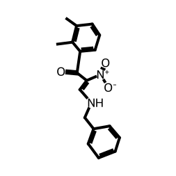 Cc1cccc(C(=O)/C(=C/NCc2ccccc2)[N+](=O)[O-])c1C